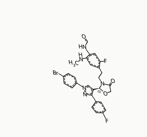 CNc1cc(CCN2C(=O)CO[C@H]2c2cn(-c3ccc(Br)cc3)nc2-c2ccc(F)cc2)c(F)cc1NC=O